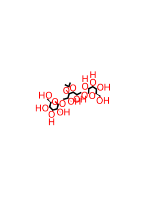 CC1(C)O[C@H]([C@H](O)COC2O[C@H](CO)[C@@H](O)[C@H](O)[C@H]2O)[C@@H]([C@H](O)CO[C@@H]2O[C@H](CO)[C@@H](O)[C@H](O)[C@H]2O)O1